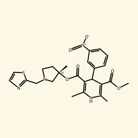 COC(=O)C1=C(C)NC(C)=C(C(=O)O[C@@]2(C)CCN(Cc3nccs3)C2)C1c1cccc([N+](=O)[O-])c1